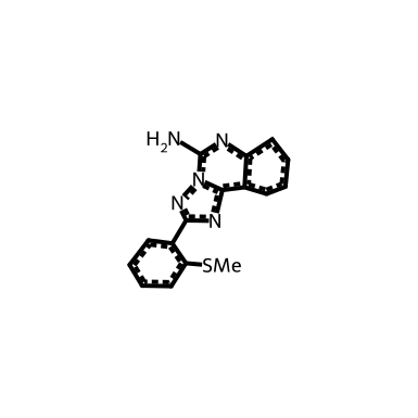 CSc1ccccc1-c1nc2c3ccccc3nc(N)n2n1